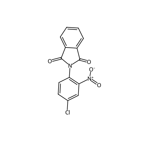 O=C1c2ccccc2C(=O)N1c1ccc(Cl)cc1[N+](=O)[O-]